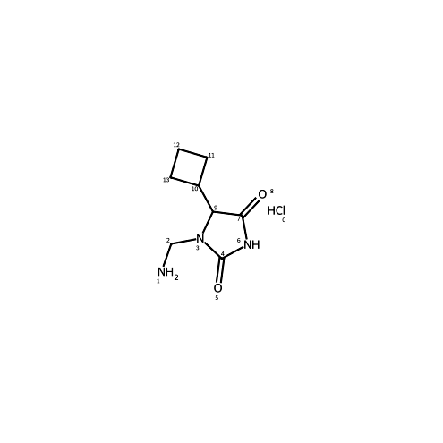 Cl.NCN1C(=O)NC(=O)C1C1CCC1